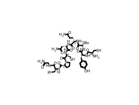 CC[C@H](C)[C@H](NC(=O)[C@@H](Cc1ccc(O)cc1)NC(=O)[C@@H](N)CS)C(=O)N[C@@H](CCC(N)=O)C(=O)N[C@@H](CC(N)=O)C(=O)N[C@@H](CS)C(=O)N1CCC[C@H]1C(=O)N[C@@H](CC(C)C)C(=O)NCC(N)=O